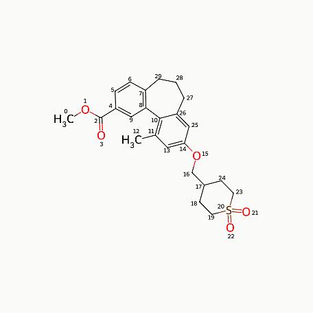 COC(=O)c1ccc2c(c1)-c1c(C)cc(OCC3CCS(=O)(=O)CC3)cc1CCC2